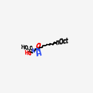 CCCCCCCCC=CCCCCCCCC(=O)NCCN(CCO)CC(=O)O